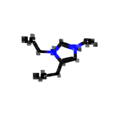 CCc1c[n+](C)cn1CC